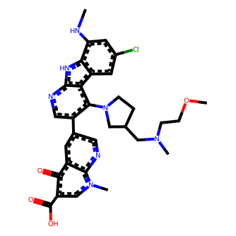 CNc1cc(Cl)cc2c1[nH]c1ncc(-c3cnc4c(c3)c(=O)c(C(=O)O)cn4C)c(N3CCC(CN(C)CCOC)C3)c12